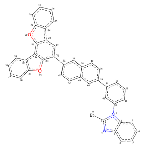 CCc1nc2ccccc2n1-c1cccc(-c2ccc3cc(-c4cc5c6ccccc6oc5c5c4oc4ccccc45)ccc3c2)c1